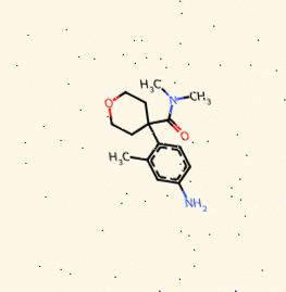 Cc1cc(N)ccc1C1(C(=O)N(C)C)CCOCC1